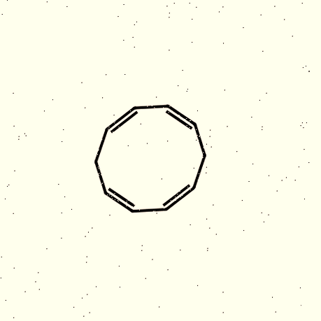 C1=C\C/C=C\C=C/C\C=C/1